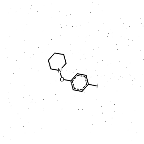 Ic1ccc(ON2CCCCC2)cc1